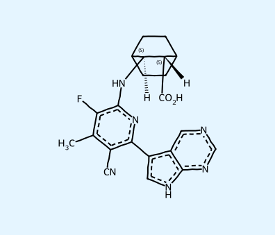 Cc1c(F)c(N[C@H]2C3CCC(CC3)[C@@H]2C(=O)O)nc(-c2c[nH]c3ncncc23)c1C#N